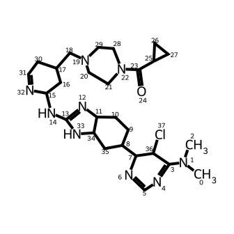 CN(C)C1=NC=NC(C2CCC3N=C(NC4CC(CN5CCN(C(=O)C6CC6)CC5)CC=N4)NC3C2)C1Cl